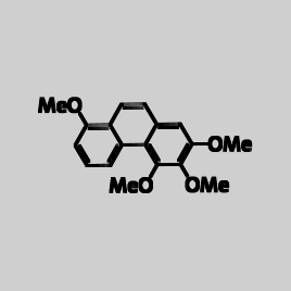 COc1cc2ccc3c(OC)cccc3c2c(OC)c1OC